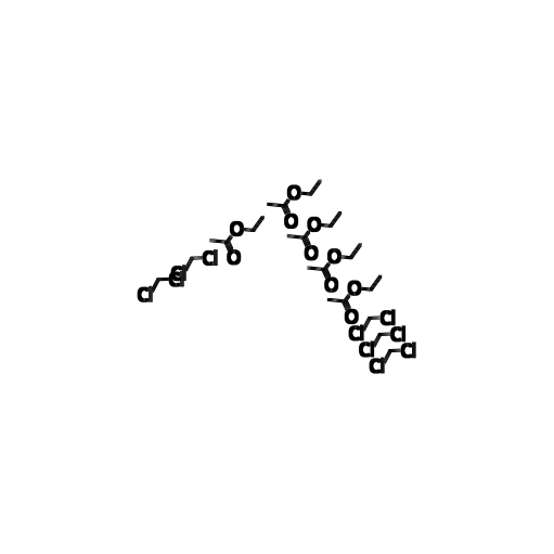 CCOC(C)=O.CCOC(C)=O.CCOC(C)=O.CCOC(C)=O.CCOC(C)=O.ClCCl.ClCCl.ClCCl.ClCCl.ClCCl